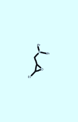 CCC1OC1CN(C(C)C)C(C)C